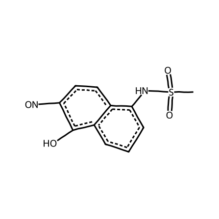 CS(=O)(=O)Nc1cccc2c(O)c(N=O)ccc12